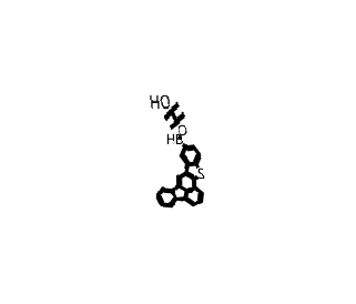 CC(C)(O)C(C)(C)OBc1ccc2sc3c4cccc5c4c(cc3c2c1)-c1ccccc1-5